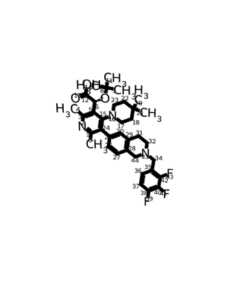 Cc1nc(C)c([C@H](OC(C)(C)C)C(=O)O)c(N2CCC(C)(C)CC2)c1-c1ccc2c(c1)CCN(Cc1ccc(F)c(F)c1F)C2